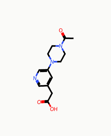 CC(=O)N1CCN(c2cncc(CC(=O)O)c2)CC1